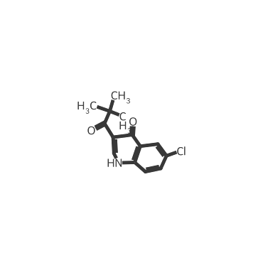 CC(C)(C)C(=O)c1c[nH]c2ccc(Cl)cc2c1=O